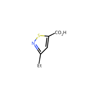 CCc1cc(C(=O)O)sn1